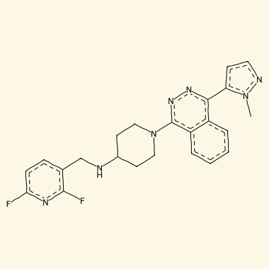 Cn1nccc1-c1nnc(N2CCC(NCc3ccc(F)nc3F)CC2)c2ccccc12